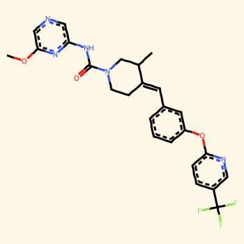 COc1cncc(NC(=O)N2CCC(=Cc3cccc(Oc4ccc(C(F)(F)F)cn4)c3)C(C)C2)n1